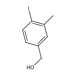 Cc1cc([CH]O)ccc1I